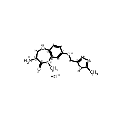 Cc1nnc(COc2ccc3c(c2)N(C)C(=O)[C@@H](N)CO3)o1.Cl